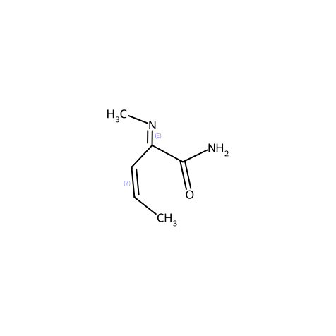 C/C=C\C(=N/C)C(N)=O